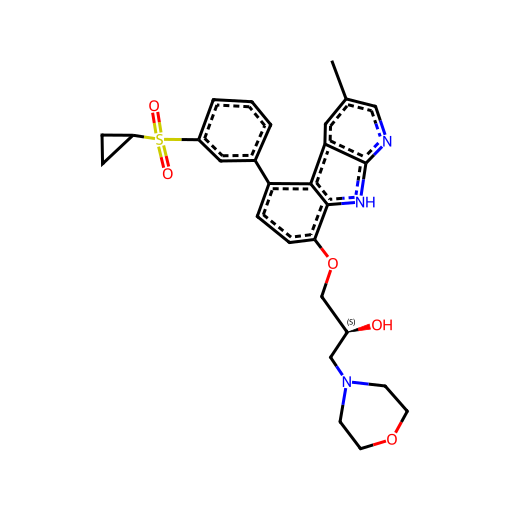 Cc1cnc2[nH]c3c(OC[C@@H](O)CN4CCOCC4)ccc(-c4cccc(S(=O)(=O)C5CC5)c4)c3c2c1